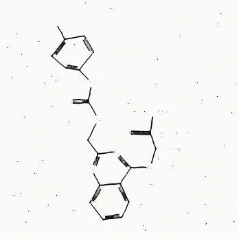 COC(=O)[C@@H](Nc1nc(CNC(=O)Nc2ccc(F)cc2)nc2ccccc12)C(C)C